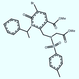 COC(=O)CN(Cc1c(C(=O)OC)cc(Br)c(=O)n1C(C)c1ccccc1)S(=O)(=O)c1ccc(C)cc1